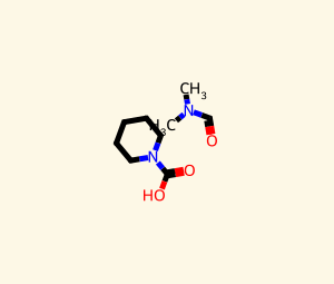 CN(C)C=O.O=C(O)N1CCCCC1